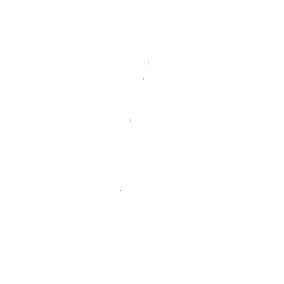 CCc1cc(C/N=C/N(C)C)on1